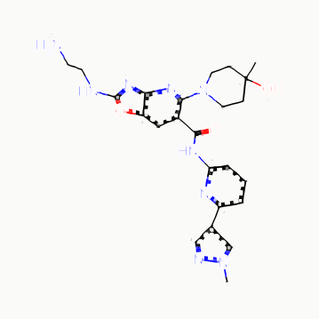 Cn1cc(-c2cccc(NC(=O)c3cc4oc(NCCN)nc4nc3N3CCC(C)(O)CC3)n2)cn1